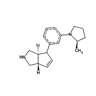 C[C@@H]1CCCN1c1cccc(C2C=C[C@@H]3CNC[C@@H]23)c1